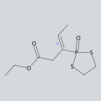 C/C=C(/CC(=O)OCC)P1(=O)SCCS1